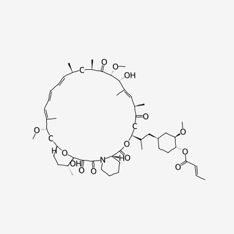 C/C=C/C(=O)O[C@@H]1CC[C@@H](CC(C)[C@@H]2CC(=O)[C@H](C)/C=C(\C)[C@@H](O)[C@@H](OC)C(=O)[C@H](C)C[C@H](C)/C=C/C=C/C=C(\C)[C@@H](OC)C[C@@H]3CC[C@@H](C)[C@@](O)(O3)C(=O)C(=O)N3CCCC[C@H]3C(=O)O2)C[C@H]1OC